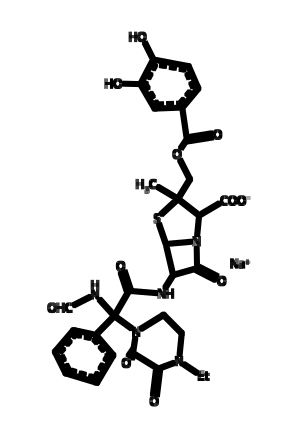 CCN1CCN(C(NC=O)(C(=O)NC2C(=O)N3C2SC(C)(COC(=O)c2ccc(O)c(O)c2)C3C(=O)[O-])c2ccccc2)C(=O)C1=O.[Na+]